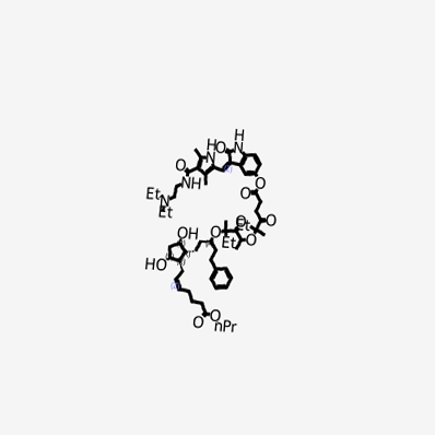 CCCOC(=O)CCC/C=C\C[C@@H]1[C@@H](CC[C@H](CCc2ccccc2)OC(C)(CC)C(=O)C(C)OC(C)(CC)C(=O)CCC(=O)Oc2ccc3c(c2)/C(=C/c2[nH]c(C)c(C(=O)NCCN(CC)CC)c2C)C(=O)N3)[C@H](O)C[C@@H]1O